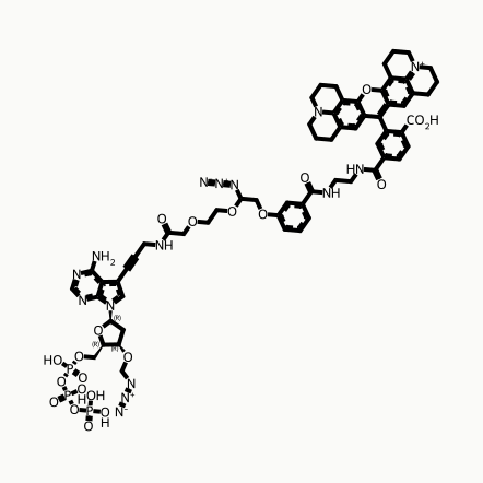 [N-]=[N+]=NCO[C@@H]1C[C@H](n2cc(C#CCNC(=O)COCCOC(COc3cccc(C(=O)NCCNC(=O)c4ccc(C(=O)O)c(C5=c6cc7c8c(c6Oc6c5cc5c9c6CCCN9CCC5)CCC[N+]=8CCC7)c4)c3)N=[N+]=[N-])c3c(N)ncnc32)O[C@@H]1COP(=O)(O)OP(=O)(O)OP(=O)(O)O